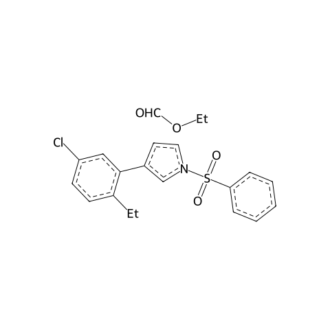 CCOC=O.CCc1ccc(Cl)cc1-c1ccn(S(=O)(=O)c2ccccc2)c1